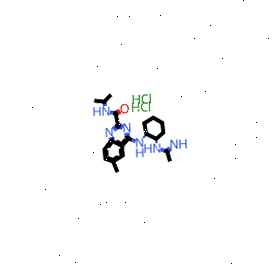 CC(=N)N[C@@H]1CCCC[C@@H]1Nc1nc(C(=O)NC(C)C)nc2ccc(C)cc12.Cl.Cl